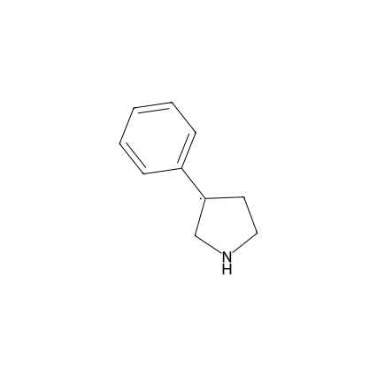 c1ccc([C]2CCNC2)cc1